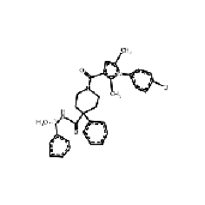 Cc1cc(C(=O)N2CCC(C(=O)N[C@@H](C)c3ccccc3)(c3ccccc3)CC2)c(C)n1-c1ccc(Cl)cc1